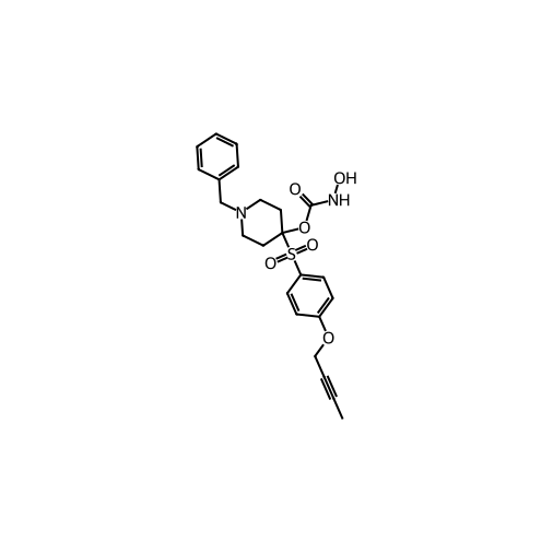 CC#CCOc1ccc(S(=O)(=O)C2(OC(=O)NO)CCN(Cc3ccccc3)CC2)cc1